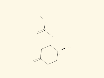 CCOC(=O)[C@H]1CCC(=O)C[C@@H]1NC(=O)OC(C)(C)C